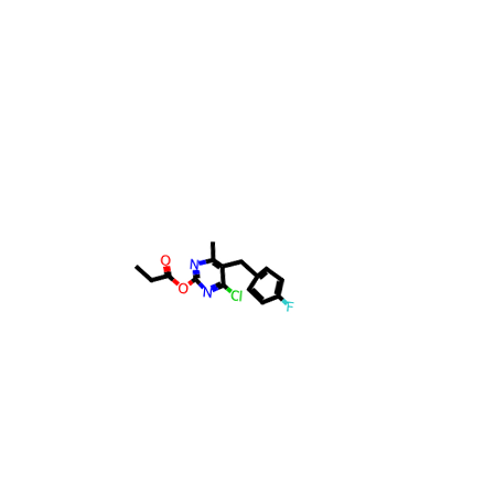 CCC(=O)Oc1nc(C)c(Cc2ccc(F)cc2)c(Cl)n1